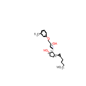 O=C(O)CCCC1=CC1[C@H]1CC[C@@H](O)[C@@H]1/C=C/[C@@H](O)COc1cccc(C(F)(F)F)c1